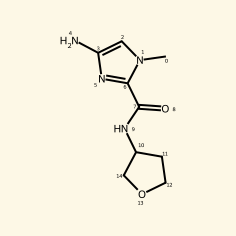 Cn1cc(N)nc1C(=O)NC1CCOC1